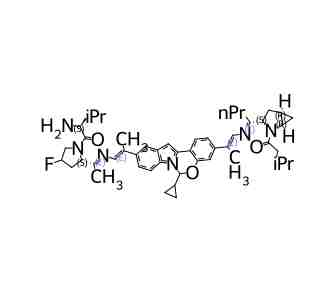 CCC/C(=N\C=C(/C)c1ccc2c(c1)OC(C1CC1)n1c-2cc2cc(/C(C)=C/N=C(\C)[C@@H]3CC(F)CN3C(=O)[C@@H](N)C(C)C)ccc21)[C@@H]1C[C@H]2C[C@H]2N1C(=O)CC(C)C